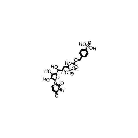 O=C(NC(CCC(O)[C@H]1O[C@@H](n2ccc(=O)[nH]c2=O)[C@H](O)[C@@H]1O)P(=O)(O)O)OCc1ccc(P(=O)(O)O)cc1